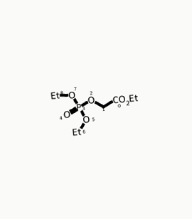 CCOC(=O)COP(=O)(OCC)OCC